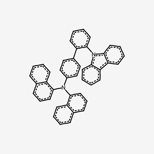 c1ccc(-n2c3ccccc3c3ccccc32)c(-c2ccc(N(c3cccc4ccccc34)c3cccc4ccccc34)cc2)c1